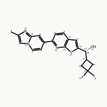 Cc1cn2ccc(-c3ccc4cc([C@H](O)C5CC(F)(F)C5)sc4n3)cc2n1